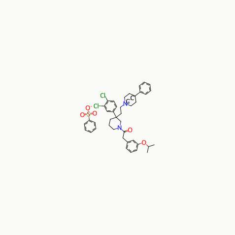 CC(C)Oc1cccc(CC(=O)N2CCCC(CC[N+]34CCC(c5ccccc5)(CC3)CC4)(c3ccc(Cl)c(Cl)c3)C2)c1.O=S(=O)([O-])c1ccccc1